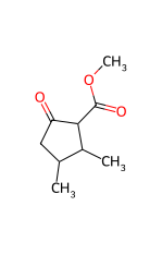 COC(=O)C1C(=O)CC(C)C1C